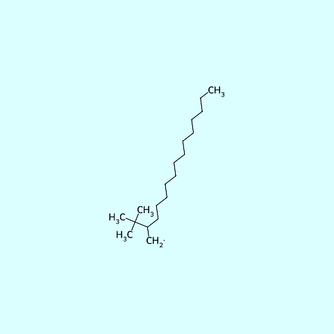 [CH2]C(CCCCCCCCCCCCC)C(C)(C)C